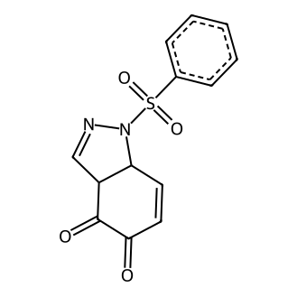 O=C1C=CC2C(C=NN2S(=O)(=O)c2ccccc2)C1=O